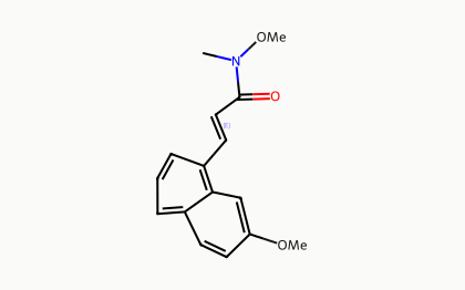 COc1ccc2cccc(/C=C/C(=O)N(C)OC)c2c1